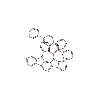 c1ccc(-c2cccc(-n3c4ccccc4c4ccc5c6ccccc6n(-c6nc7cc(-c8ccccc8)ccc7nc6-c6ccccc6)c5c43)c2)cc1